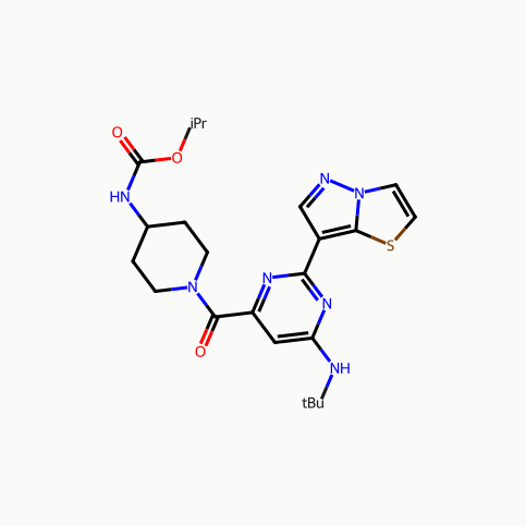 CC(C)OC(=O)NC1CCN(C(=O)c2cc(NC(C)(C)C)nc(-c3cnn4ccsc34)n2)CC1